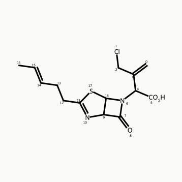 C=C(CCl)C(C(=O)O)N1C(=O)C2N=C(CCC=CC)SC21